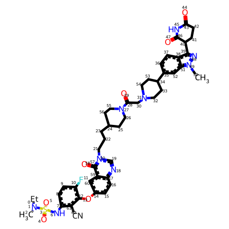 CCN(C)S(=O)(=O)Nc1ccc(F)c(Oc2ccc3ncn(CCCC4CCN(C(=O)CN5CCC(c6ccc7c(C8CCC(=O)NC8=O)nn(C)c7c6)CC5)CC4)c(=O)c3c2)c1C#N